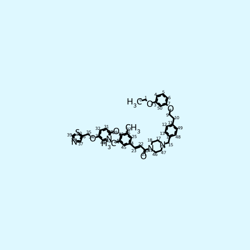 CCOc1cccc(OCCc2ccc(CN3CCN(C(=O)/C=C/c4cc(C)c(Oc5ccc(OCc6cncs6)cn5)c(C)c4)CC3)cc2)c1